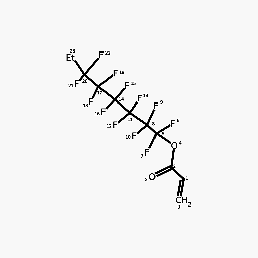 C=CC(=O)OC(F)(F)C(F)(F)C(F)(F)C(F)(F)C(F)(F)C(F)(F)CC